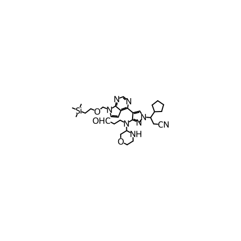 C[Si](C)(C)CCOCn1ccc2c(-c3cn(C(CC#N)C4CCCC4)nc3N(CCC=O)C3COCCN3)ncnc21